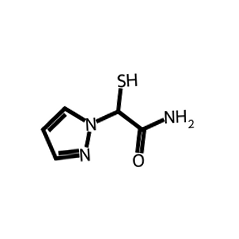 NC(=O)C(S)n1cccn1